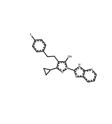 Oc1c(CCc2ccc(F)cc2)c(C2CC2)nn1-c1nc2cccnc2[nH]1